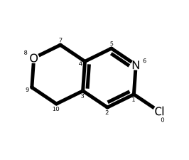 Clc1cc2c(cn1)COCC2